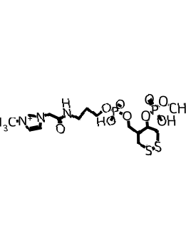 COP(=O)(O)OC1CSSCC1COP(=O)(O)OCCCNC(=O)Cn1cc[n+](C)c1